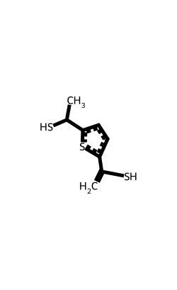 C=C(S)c1ccc(C(C)S)s1